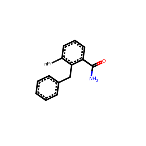 CCCc1cccc(C(N)=O)c1Cc1ccccc1